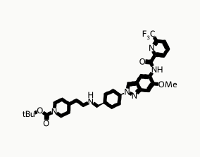 COc1cc2nn([C@H]3CC[C@H](CNCCC4CCN(C(=O)OC(C)(C)C)CC4)CC3)cc2cc1NC(=O)c1cccc(C(F)(F)F)n1